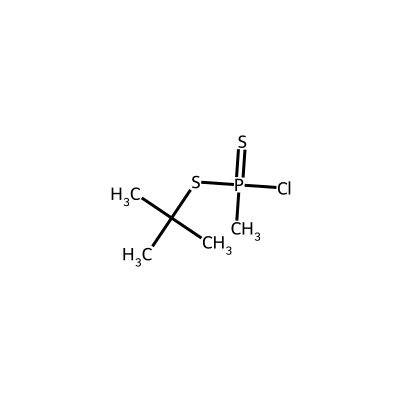 CC(C)(C)SP(C)(=S)Cl